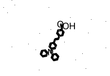 O=C(O)c1ccc(C=Cc2ccc(N(c3ccccc3)c3ccccc3)cc2)cc1